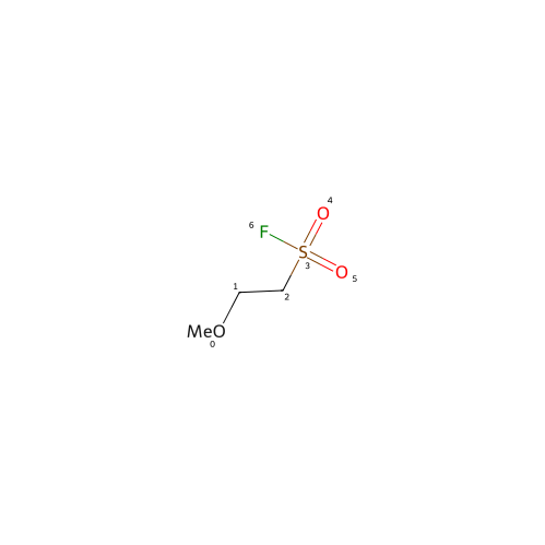 COCCS(=O)(=O)F